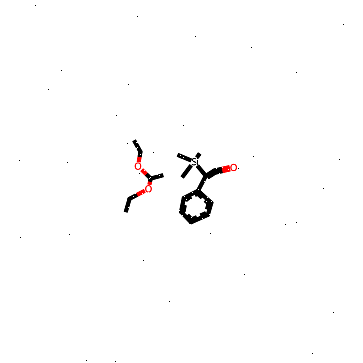 CCOC(C)OCC.C[Si](C)(C)C(=C=O)c1ccccc1